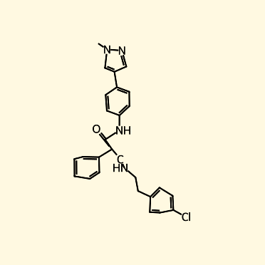 Cn1cc(-c2ccc(NC(=O)C(CNCCc3ccc(Cl)cc3)c3ccccc3)cc2)cn1